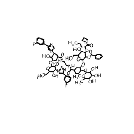 CCC[C@H](OC1C(OC(=O)c2ccccc2)[C@H](O[C@@H]2CC(C(=O)NCCNC(=O)C3CC(n4cc(-c5cccc(F)c5)nn4)C(O)[C@H](O[C@@H]4OC(CO)[C@H](O)C(n5cc(-c6cccc(F)c6)nn5)C4O)C3)CC(C)C2O[C@@H]2OC(C)[C@@H](O)[C@H](O)C2O)OC(CO)[C@@H]1O)C(=O)N1CCC1